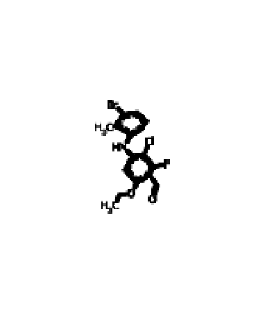 CCOc1cc(Nc2cccc(Br)c2C)c(Cl)c(F)c1C=O